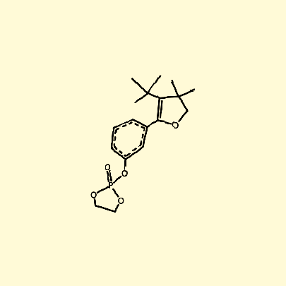 CC(C)(C)C1=C(c2cccc(OP3(=O)OCCO3)c2)OCC1(C)C